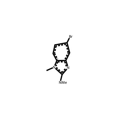 CNc1nc2cc(Br)ccc2n1C